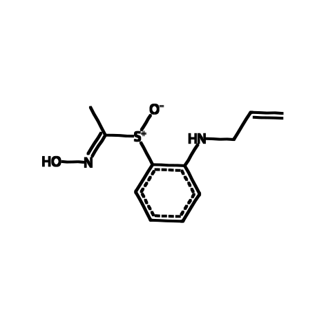 C=CCNc1ccccc1[S+]([O-])C(C)=NO